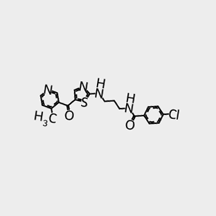 Cc1ccncc1C(=O)c1cnc(NCCCNC(=O)c2ccc(Cl)cc2)s1